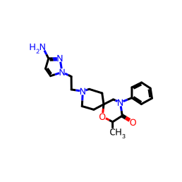 CC1OC2(CCN(CCn3ccc(N)n3)CC2)CN(c2ccccc2)C1=O